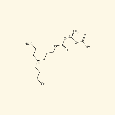 CC(C)CCC[C@@H](CCCNC(=O)O[C@@H](C)OC(=O)C(C)C)CCC(=O)O